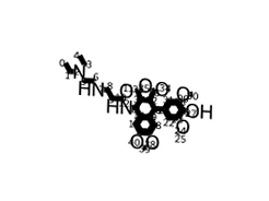 CCN(CC)CCNCCC(=O)NC1c2cc3c(cc2C(c2cc(OC)c(O)c(OC)c2)C2C(=O)OCC12)OCO3